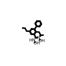 C=C(C)Cc1c(C(=NO)NO)cc(CCC)cc1-c1ccccc1